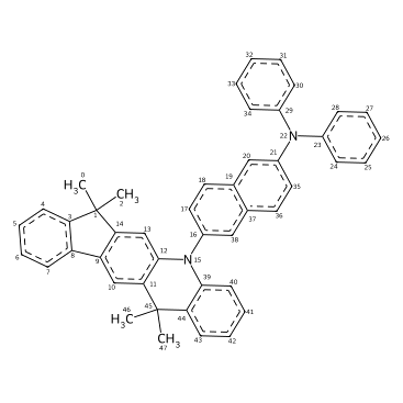 CC1(C)c2ccccc2-c2cc3c(cc21)N(c1ccc2cc(N(c4ccccc4)c4ccccc4)ccc2c1)c1ccccc1C3(C)C